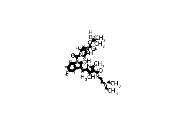 CCN(CC)CCNC(=O)c1c(C)[nH]c(/C=C2\C(=O)N(C(=O)N3C[C@@H]4C[C@H]3CN4C(=O)OC(C)(C)C)c3ccc(F)cc32)c1C